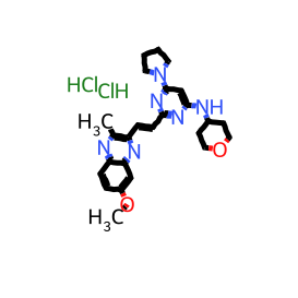 COc1ccc2nc(C)c(C=Cc3nc(NC4CCOCC4)cc(N4CCCC4)n3)nc2c1.Cl.Cl